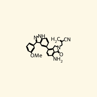 C=C(C#N)CN1Cc2c(-c3ccc4[nH]nc(-c5cccc(OC)c5)c4c3)ccc(N)c2C1=O